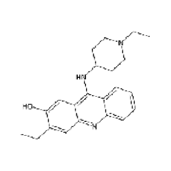 CCc1cc2nc3ccccc3c(NC3CCN(CC)CC3)c2cc1O